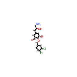 NCC(O)=Cc1cc(Br)c(OCc2ccc(Cl)c(Cl)c2)c(Br)c1